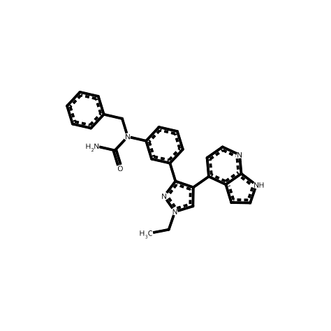 CCn1cc(-c2ccnc3[nH]ccc23)c(-c2cccc(N(Cc3ccccc3)C(N)=O)c2)n1